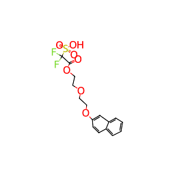 O=C(OCCOCCOc1ccc2ccccc2c1)C(F)(F)S(=O)(=O)O